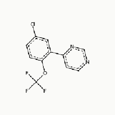 FC(F)(F)Oc1ccc(Cl)cc1-c1ccncn1